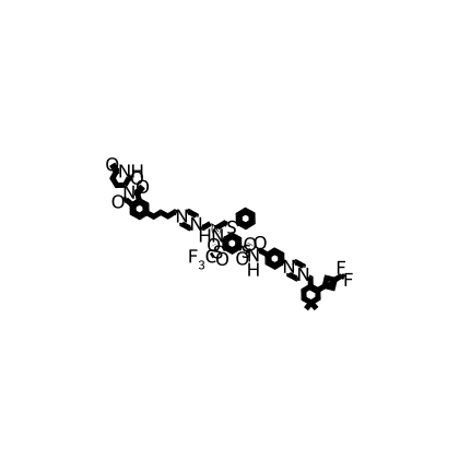 CC1(C)CCC(CN2CCN(c3ccc(C(=O)NS(=O)(=O)c4ccc(N[C@H](CCN5CCN(CCCCc6ccc7c(c6)C(=O)N(C6CCC(=O)NC6=O)C7=O)CC5)CSc5ccccc5)c(S(=O)(=O)C(F)(F)F)c4)cc3)CC2)=C(C23CC(C(F)F)(C2)C3)C1